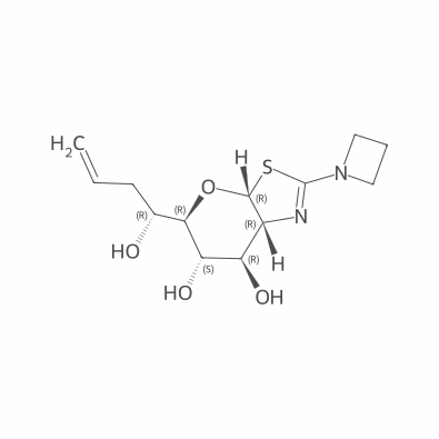 C=CC[C@@H](O)[C@H]1O[C@@H]2SC(N3CCC3)=N[C@@H]2[C@@H](O)[C@@H]1O